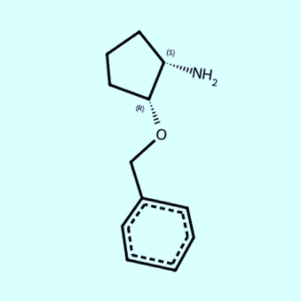 N[C@H]1CCC[C@H]1OCc1ccccc1